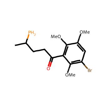 COc1cc(Br)c(OC)c(C(=O)CCC(C)P)c1OC